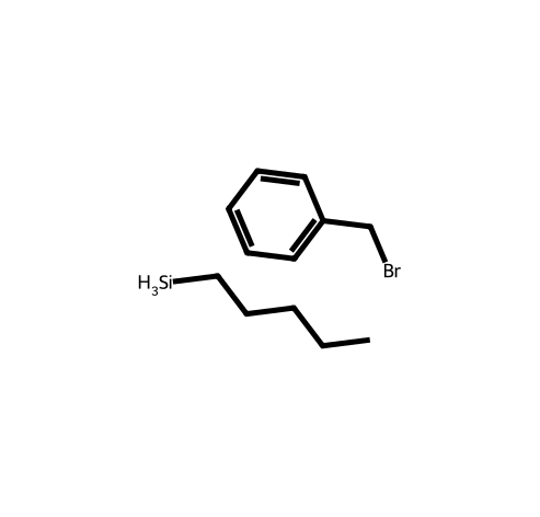 BrCc1ccccc1.CCCCC[SiH3]